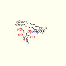 CCCCCCCCCCCCCCCCCC(=O)O.CCCCCCCCCCCCCCCCCC(=O)O.C[C@](O)([C@H](O)[C@H](O)CO)[C@@H](O)CN